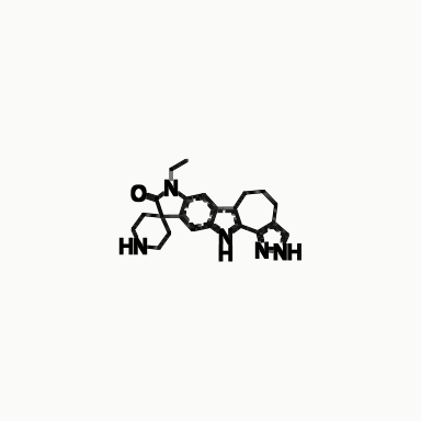 CCN1C(=O)C2(CCNCC2)c2cc3[nH]c4c(c3cc21)CCCc1c[nH]nc1-4